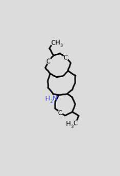 CCC1CCCC2CCCC3CCC(CC)CCCCC3(N)CCCC(CC1)CC2